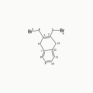 BrCC1=C(CBr)Cc2ccccc2C1